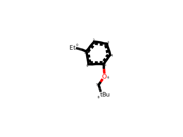 CCc1cccc(OCC(C)(C)C)c1